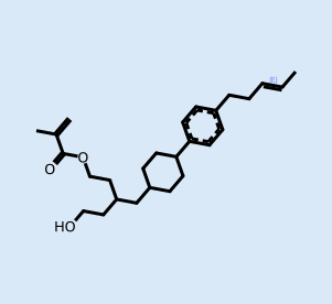 C=C(C)C(=O)OCCC(CCO)CC1CCC(c2ccc(CC/C=C/C)cc2)CC1